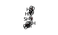 COC(=O)N[C@H](C(=O)N1CCC[C@H]1C(=O)Nc1ccc([C@@H]2CC[C@@H](c3ccc(NC(=O)[C@@H]4C[Si](C)(C)CN4C(=O)[C@@H](NC(=O)OC)C(C)C)cc3)N2c2ccc([Si](C)(C)C)cc2)cc1)C(C)C